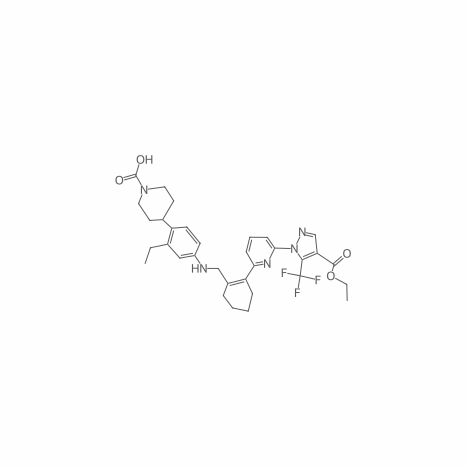 CCOC(=O)c1cnn(-c2cccc(C3=C(CNc4ccc(C5CCN(C(=O)O)CC5)c(CC)c4)CCCC3)n2)c1C(F)(F)F